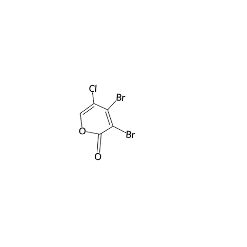 O=c1occ(Cl)c(Br)c1Br